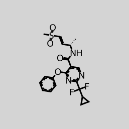 C[C@@H](/C=C/S(C)(=O)=O)NC(=O)c1cnc(C(F)(F)C2CC2)nc1Oc1ccccc1